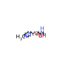 CN1CCN(CCCOCC(O)NI)CC1